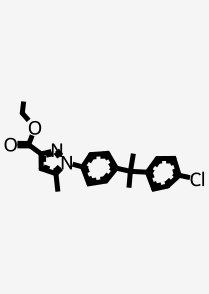 CCOC(=O)c1cc(C)n(-c2ccc(C(C)(C)c3ccc(Cl)cc3)cc2)n1